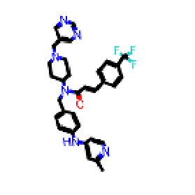 Cc1cc(Nc2ccc(CN(C(=O)C=Cc3ccc(C(F)(F)F)cc3)C3CCN(Cc4cncnc4)CC3)cc2)ccn1